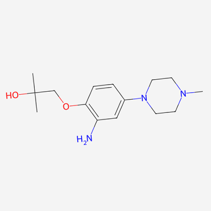 CN1CCN(c2ccc(OCC(C)(C)O)c(N)c2)CC1